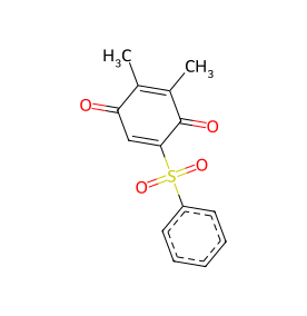 CC1=C(C)C(=O)C(S(=O)(=O)c2ccccc2)=CC1=O